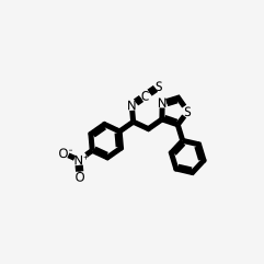 O=[N+]([O-])c1ccc(C(Cc2ncsc2-c2ccccc2)N=C=S)cc1